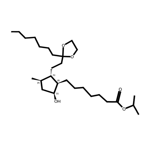 CCCCCCCC1(CC[C@@H]2[C@@H](CCCCCCC(=O)OC(C)C)[C@@H](O)C[C@H]2C)OCCO1